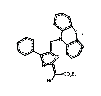 CCOC(=O)/C(C#N)=c1/nc(-c2ccccc2)/c(=C/N2c3ccccc3[SiH2]c3ccccc32)s1